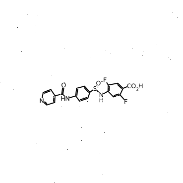 O=C(Nc1ccc([S+]([O-])Nc2cc(F)c(C(=O)O)cc2F)cc1)c1ccncc1